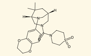 CC1(C)C[C@@H]2CN(C(=O)N3CCS(=O)(=O)CC3)C[C@H]1N(c1ccc3c(c1)OCCO3)C2